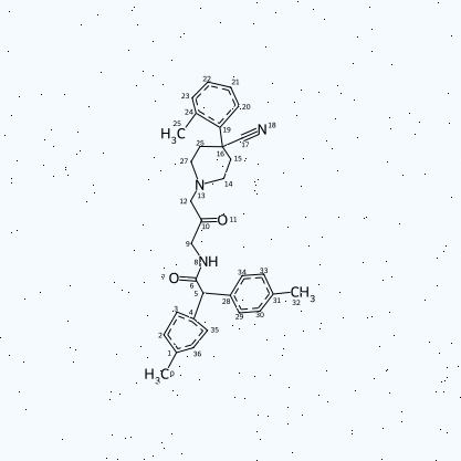 Cc1ccc(C(C(=O)NCC(=O)CN2CCC(C#N)(c3ccccc3C)CC2)c2ccc(C)cc2)cc1